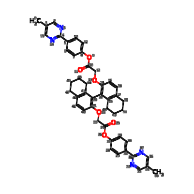 Cc1cnc(-c2ccc(OC(=O)COc3ccc4c(c3-c3c(OCC(=O)Oc5ccc(-c6ncc(C)cn6)cc5)ccc5c3CCCC5)CCCC4)cc2)nc1